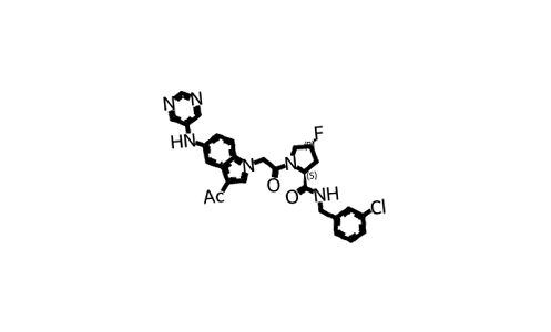 CC(=O)c1cn(CC(=O)N2C[C@H](F)C[C@H]2C(=O)NCc2cccc(Cl)c2)c2ccc(Nc3cncnc3)cc12